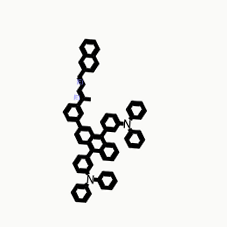 C/C(=C\C=C\c1ccc2ccccc2c1)c1cccc(-c2ccc3c(-c4cccc(N(c5ccccc5)c5ccccc5)c4)c4ccccc4c(-c4cccc(N(c5ccccc5)c5ccccc5)c4)c3c2)c1